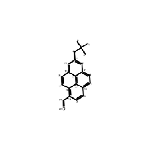 CC(C)(C)Cc1cc2ccc3ccc(C=O)c4ccc(c1)c2c34